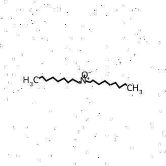 CCCCCCCCC=[N+]([O-])CCCCCCCCC